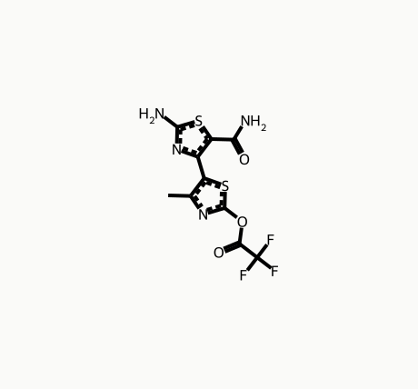 Cc1nc(OC(=O)C(F)(F)F)sc1-c1nc(N)sc1C(N)=O